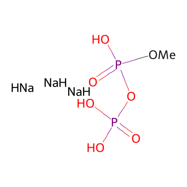 COP(=O)(O)OP(=O)(O)O.[NaH].[NaH].[NaH]